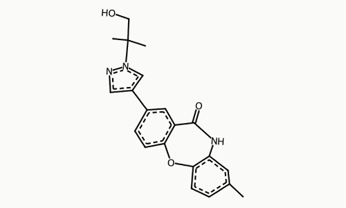 Cc1ccc2c(c1)NC(=O)c1cc(-c3cnn(C(C)(C)CO)c3)ccc1O2